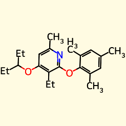 CCc1c(OC(CC)CC)cc(C)nc1Oc1c(C)cc(C)cc1C